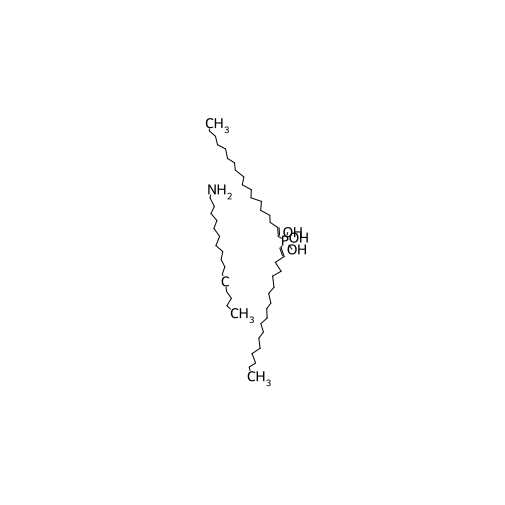 CCCCCCCCCCCCCCCCC=CP(O)(O)(O)C=CCCCCCCCCCCCCCCCC.CCCCCCCCCCCCCCCCN